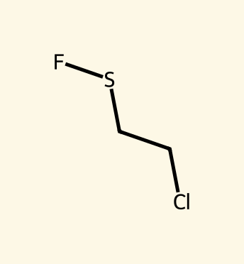 FSCCCl